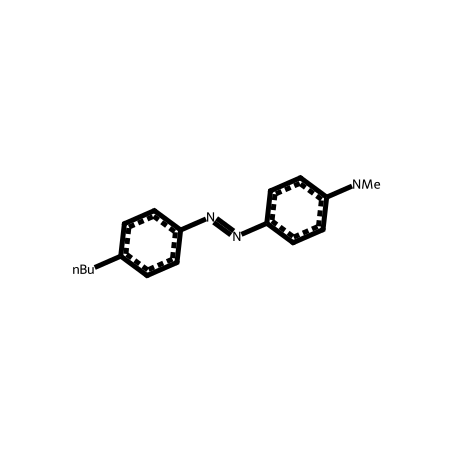 CCCCc1ccc(N=Nc2ccc(NC)cc2)cc1